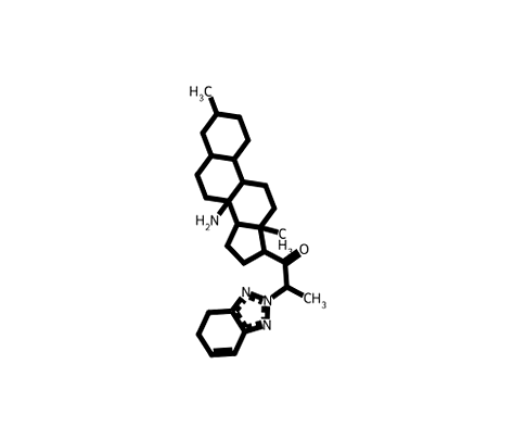 CC1CCC2C(CCC3(N)C2CCC2(C)C(C(=O)C(C)n4nc5c(n4)CCC=C5)CCC23)C1